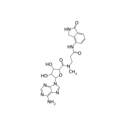 CN(CCC(=O)Nc1cccc2c1CNC2=O)C(=O)C1OC(n2cnc3c(N)ncnc32)C(O)C1O